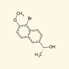 COc1ccc2cc([C@@H](C)O)ccc2c1Br